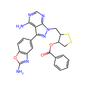 Nc1nc2cc(-c3nn(CC4SSCC4OC(=O)c4ccccc4)c4ncnc(N)c34)ccc2o1